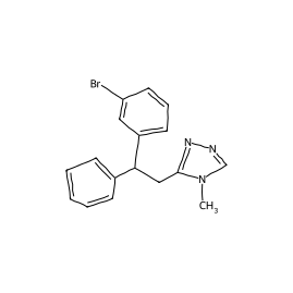 Cn1cnnc1CC(c1ccccc1)c1cccc(Br)c1